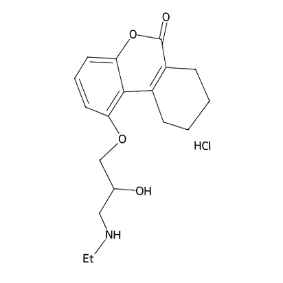 CCNCC(O)COc1cccc2oc(=O)c3c(c12)CCCC3.Cl